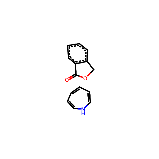 C1=CC=CNC=C1.O=C1OCc2ccccc21